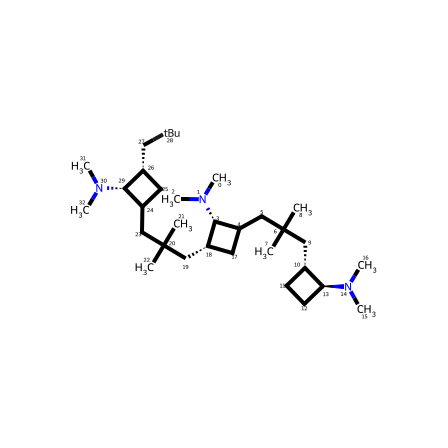 CN(C)[C@@H]1C(CC(C)(C)C[C@H]2CC[C@@H]2N(C)C)C[C@@H]1CC(C)(C)CC1C[C@@H](CC(C)(C)C)[C@H]1N(C)C